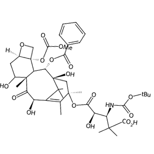 COC(=O)O[C@@]12CO[C@@H]1CC(O)[C@@]1(C)C(=O)[C@H](O)C3=C(C)[C@](C)(OC(=O)[C@H](O)[C@@H](NC(=O)OC(C)(C)C)C(C)(C)C(=O)O)C[C@@](O)([C@@H](OC(=O)c4ccccc4)C12)C3(C)C